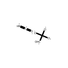 N=C=O.O=CC(Cl)(Cl)Cl